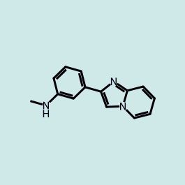 CNc1cccc(-c2cn3ccccc3n2)c1